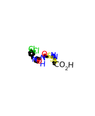 CC(C)(Sc1nnc(SCC(=O)NC[C@H]2CN(CC3C=C(Cl)C(Cl)=CC3)CCO2)s1)C(=O)O